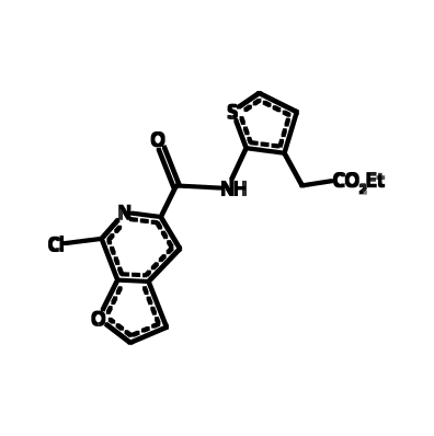 CCOC(=O)Cc1ccsc1NC(=O)c1cc2ccoc2c(Cl)n1